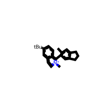 Cc1cc2c(cc1-c1c3ccc(C(C)(C)C)cc3cc[n+]1C)CCC2